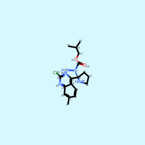 Cc1ccc2c([C@]3(N(N)C(=O)OCC(C)C)CCCN3)nc(Cl)nc2c1